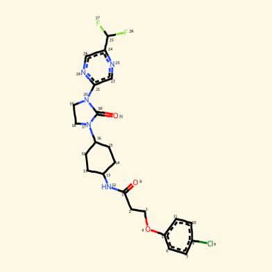 O=C(CCOc1ccc(Cl)cc1)NC1CCC(N2CCN(c3cnc(C(F)F)cn3)C2=O)CC1